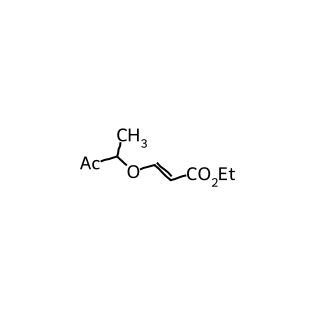 CCOC(=O)C=COC(C)C(C)=O